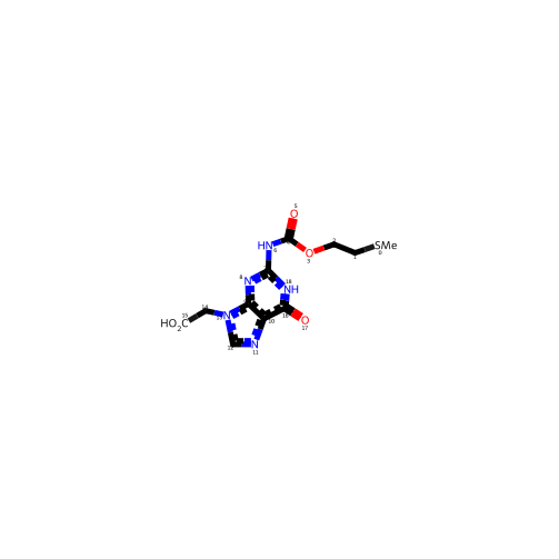 CSCCOC(=O)Nc1nc2c(ncn2CC(=O)O)c(=O)[nH]1